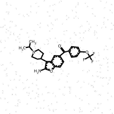 CC(C)N1CCC(c2c(N)oc3ccc(C(=O)c4ccc(OC(F)(F)F)cc4)cc23)CC1